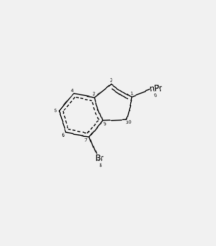 CCCC1=Cc2cccc(Br)c2C1